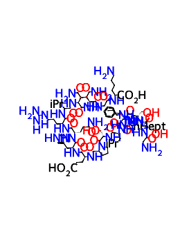 CCCCCCCC(=O)N(C(=O)[C@H](CO)NC(=O)[C@H](CO)NC(=O)CN)[C@@H](Cc1ccccc1)C(=O)N[C@@H](CC(C)C)C(=O)N[C@@H](CO)C(=O)N1CCC[C@H]1C(=O)N[C@@H](CCC(=O)O)C(=O)N[C@@H](Cc1c[nH]cn1)C(=O)N[C@@H](CCC(N)=O)C(=O)N[C@@H](CCCNC(=N)N)C(=O)N[C@H](C(=O)N[C@@H](CCC(N)=O)C(=O)N[C@@H](CCC(N)=O)C(=O)N[C@@H](CCCNC(=N)N)C(=O)N[C@@H](CCCCN)C(=O)O)C(C)C